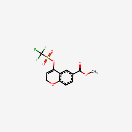 COC(=O)c1ccc2c(c1)C(OS(=O)(=O)C(F)(F)F)=CCO2